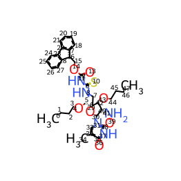 CCCCOC[C@@]1(CNC(=S)NC(=O)OCC2c3ccccc3-c3ccccc32)O[C@@H](n2cc(C)c(=O)[nH]c2=O)[C@@H](N)C1OCCCC